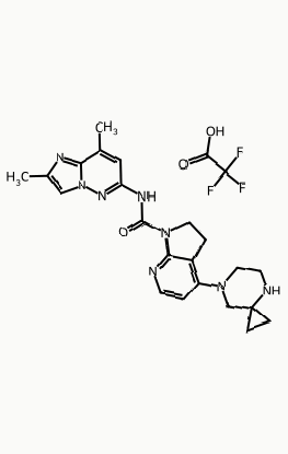 Cc1cn2nc(NC(=O)N3CCc4c(N5CCNC6(CC6)C5)ccnc43)cc(C)c2n1.O=C(O)C(F)(F)F